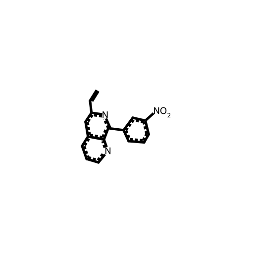 C=Cc1cc2cccnc2c(-c2cccc([N+](=O)[O-])c2)n1